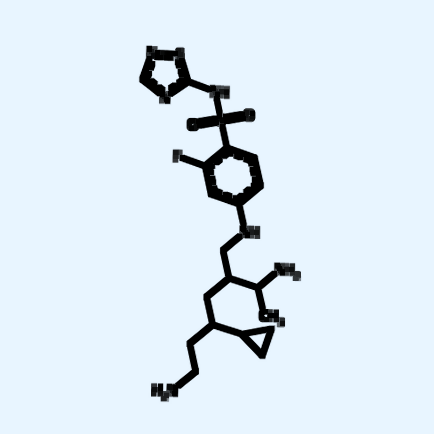 CC(N)C(CNc1ccc(S(=O)(=O)Nc2ncns2)c(F)c1)CC(CCN)C1CC1